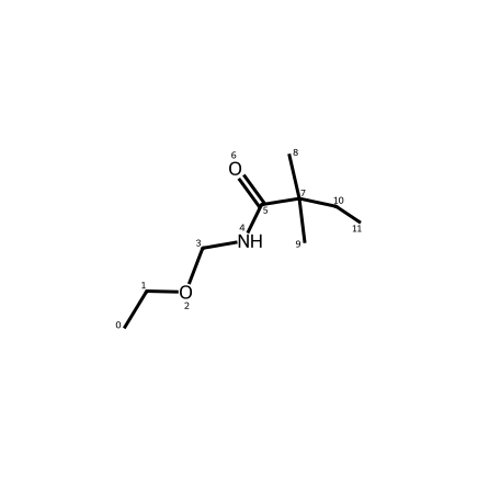 CCOCNC(=O)C(C)(C)CC